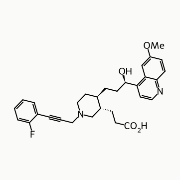 COc1ccc2nccc([C@H](O)CC[C@@H]3CCN(CC#Cc4ccccc4F)C[C@H]3CCC(=O)O)c2c1